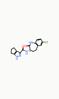 O=C(N[C@H]1CCc2cc(Cl)ccc2NC1=O)c1n[nH]c2c1CCC2